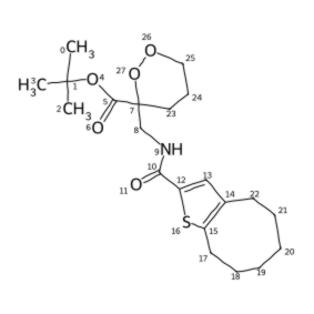 CC(C)(C)OC(=O)C1(CNC(=O)c2cc3c(s2)CCCCCC3)CCCOO1